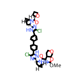 COC(=O)N[C@H](C(=O)N1[C@@H]2C[C@@H]2C[C@H]1c1nc(Cl)c(-c2ccc(-c3ccc(-c4[nH]c([C@@H]5C[C@H]6C[C@H]6N5C(=O)[C@H]5CCCO5)nc4Cl)cc3)cc2)[nH]1)C1CCOCC1